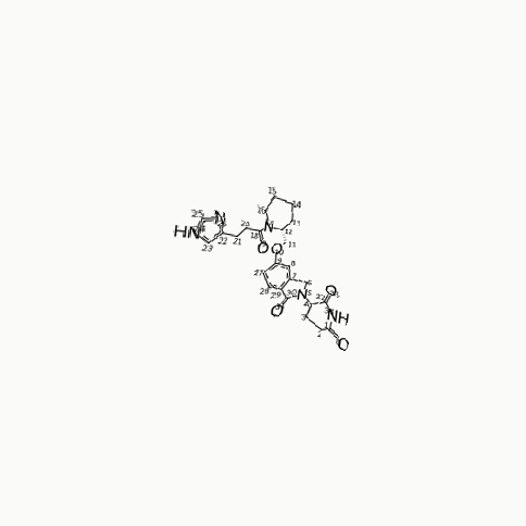 O=C1CCC(N2Cc3cc(OC[C@H]4CCCCN4C(=O)CCc4c[nH]cn4)ccc3C2=O)C(=O)N1